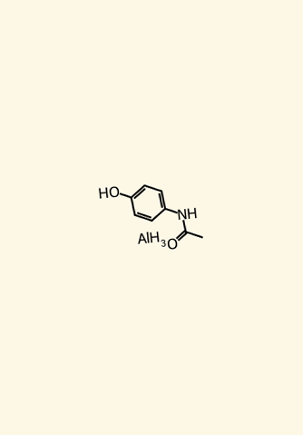 CC(=O)Nc1ccc(O)cc1.[AlH3]